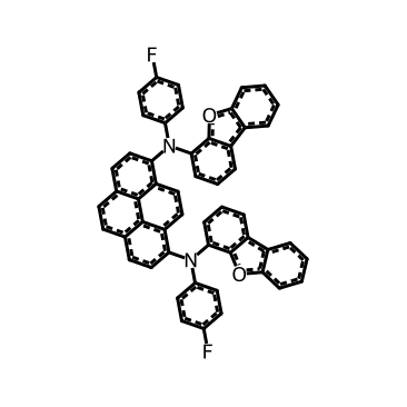 Fc1ccc(N(c2ccc3ccc4ccc(N(c5ccc(F)cc5)c5cccc6c5oc5ccccc56)c5ccc2c3c45)c2cccc3c2oc2ccccc23)cc1